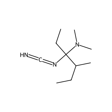 CCC(C)C(CC)(N=C=N)N(C)C